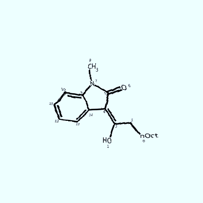 CCCCCCCCCC(O)=C1C(=O)N(C)c2ccccc21